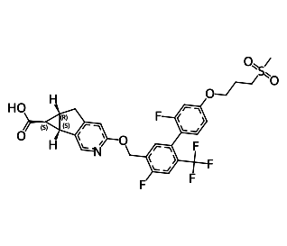 CS(=O)(=O)CCCOc1ccc(-c2cc(COc3cc4c(cn3)[C@H]3[C@@H](C4)[C@@H]3C(=O)O)c(F)cc2C(F)(F)F)c(F)c1